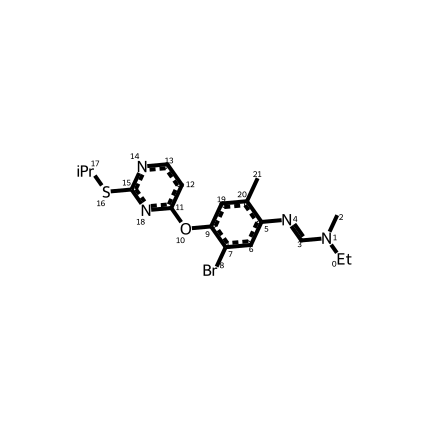 CCN(C)/C=N/c1cc(Br)c(Oc2ccnc(SC(C)C)n2)cc1C